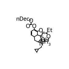 CCCCCCCCCCOC(=O)OC1=C2O[C@@H](C(=O)CC)[C@]34CCN(CC5CC5)C(CC(C=C1)C23)[C@@]4(C)O